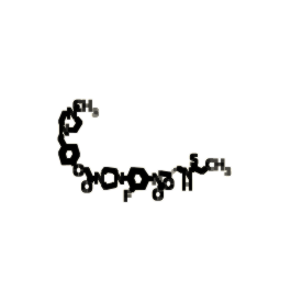 CCC(=S)NC[C@H]1CN(c2ccc(N3CCN(C(=O)COc4ccc(CN5CCN(C)CC5)cc4)CC3)c(F)c2)C(=O)O1